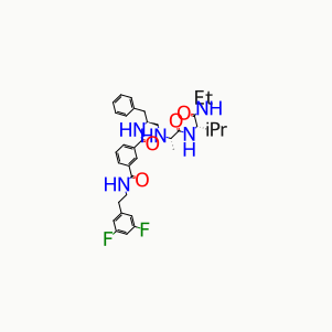 CCNC(=O)[C@@H](NC(=O)[C@H](C)NC[C@H](Cc1ccccc1)NC(=O)c1cccc(C(=O)NCCc2cc(F)cc(F)c2)c1)C(C)C